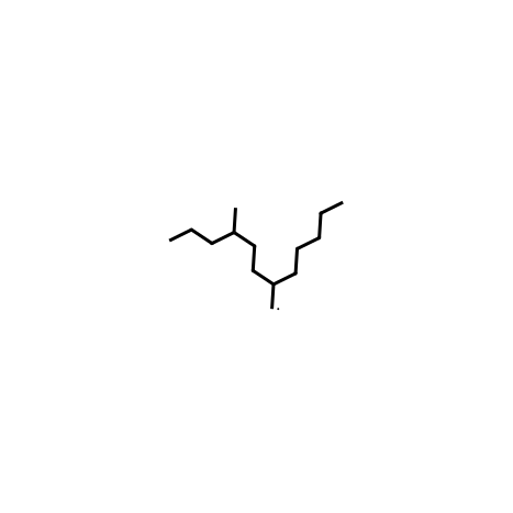 [CH2]C(CCCCC)CCC(C)CCC